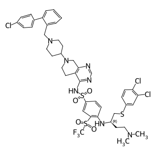 CN(C)CC[C@H](CSc1ccc(Cl)c(Cl)c1)Nc1ccc(S(=O)(=O)Nc2ncnc3c2CCN(C2CCN(Cc4ccccc4-c4ccc(Cl)cc4)CC2)C3)cc1S(=O)(=O)C(F)(F)F